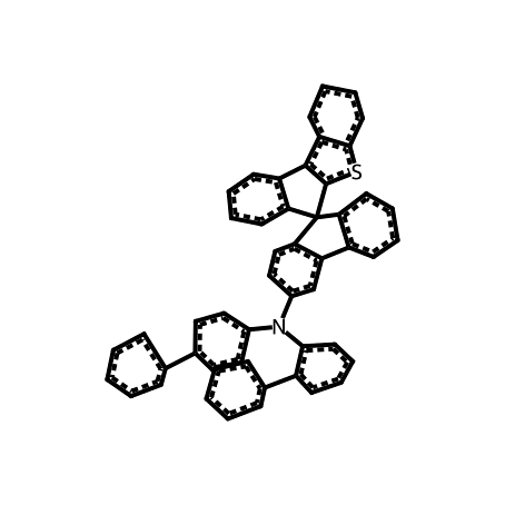 c1ccc(-c2ccc(N(c3ccc4c(c3)-c3ccccc3C43c4ccccc4-c4c3sc3ccccc43)c3ccccc3-c3ccccc3)cc2)cc1